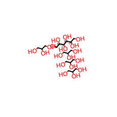 O=C[C@H](O)[C@@H](O)[C@H](O)[C@H](O)CO.OCC(O)CO.OCC(O)CO.OCC(O)CO.OCC(O)CO